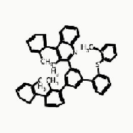 CC1=C(c2cccc(-c3cc(-c4ccccc4Sc4ccccc4C)cc(-c4nc5ccccc5c(-c5ccccc5C)c4C)c3)c2C)CCC=C1